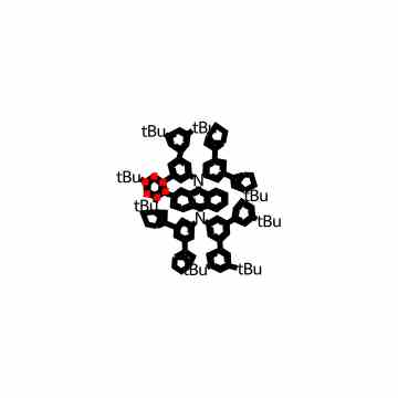 CC(C)(C)c1cc(-c2cc(-c3cc(C(C)(C)C)cc(C(C)(C)C)c3)cc(N(c3cc(C4CC5CCC4C5)cc(C4CC5CCC4C5)c3)c3c4ccccc4c(N(c4cc(-c5cc(C(C)(C)C)cc(C(C)(C)C)c5)cc(-c5cc(C(C)(C)C)cc(C(C)(C)C)c5)c4)c4cc(C5CC6CCC5C6)cc(C5CC6CCC5C6)c4)c4cc(-c5ccccc5)ccc34)c2)cc(C(C)(C)C)c1